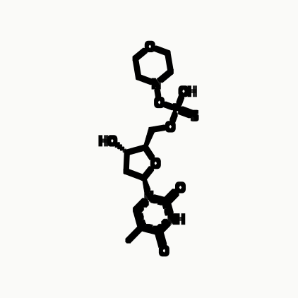 Cc1cn([C@H]2C[C@H](O)[C@@H](COP(O)(=S)ON3CCOCC3)O2)c(=O)[nH]c1=O